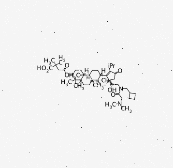 CC(C)C1=C2[C@H]3CC[C@@H]4[C@@]5(C)CC[C@H](OC(=O)CC(C)(C)C(=O)O)C(C)(C)[C@H]5CC[C@@]4(C)[C@]3(C)CC[C@@]2([C@@H](O)CN(CC2CCC2)C(=O)CN(C)C)CC1=O